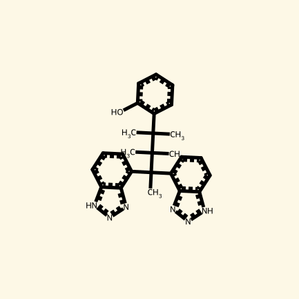 CC(C)(c1ccccc1O)C(C)(C)C(C)(c1cccc2[nH]nnc12)c1cccc2[nH]nnc12